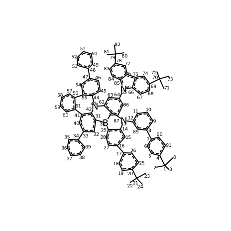 CC(C)(C)c1ccc(-c2cccc(N3c4cc(-c5ccc(C(C)(C)C)cc5)ccc4B4c5cc(-c6ccccc6)cc6c5N(c5ccc(-c7ccccc7)cc5-c5ccccc5-6)c5cc(-n6c7ccc(C(C)(C)C)cc7c7cc(C(C)(C)C)ccc76)cc3c54)c2)cc1